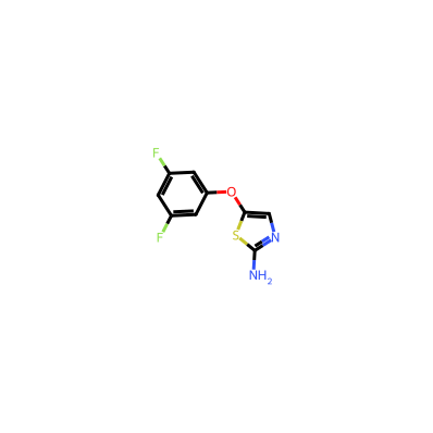 Nc1ncc(Oc2cc(F)cc(F)c2)s1